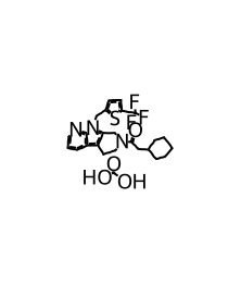 O=C(CC1CCCCC1)N1CCc2c(n(Cc3ccc(C(F)(F)F)s3)c3ncccc23)C1.O=C(O)O